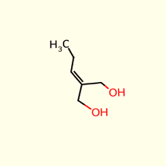 CCC=C(CO)CO